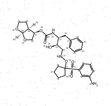 Nc1cccc(S(=O)(=O)C2(ONC[C@@H](O)[C@H](Cc3ccccc3)NC(=O)O[C@H]3CO[C@H]4OCC[C@H]43)CCCC2)c1